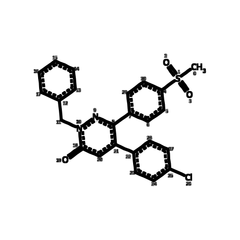 CS(=O)(=O)c1ccc(-c2nn(Cc3ccccc3)c(=O)cc2-c2ccc(Cl)cc2)cc1